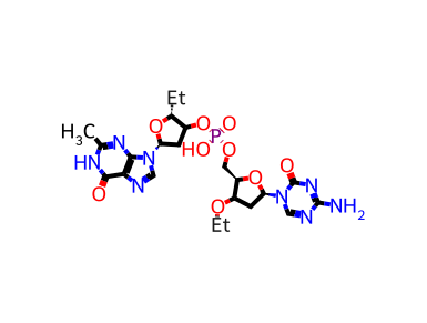 CCOC1C[C@H](n2cnc(N)nc2=O)O[C@@H]1COP(=O)(O)OC1C[C@H](n2cnc3c(=O)[nH]c(C)nc32)O[C@@H]1CC